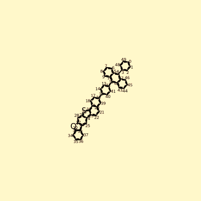 c1ccc(-c2c3ccccc3c(-c3ccc(-c4ccc5c(ccc6c7cc8c(cc7sc56)oc5ccccc58)c4)cc3)c3ccccc23)cc1